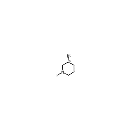 CC[C@H]1CCCN(I)C1